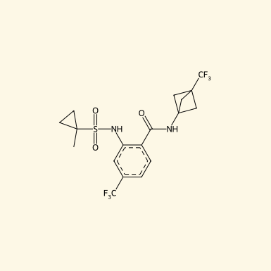 CC1(S(=O)(=O)Nc2cc(C(F)(F)F)ccc2C(=O)NC23CC(C(F)(F)F)(C2)C3)CC1